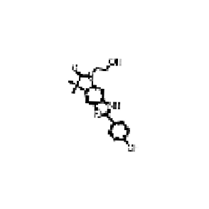 CC1(C)C(=O)N(CCO)c2cc3[nH]c(-c4ccc(O)cc4)nc3cc21